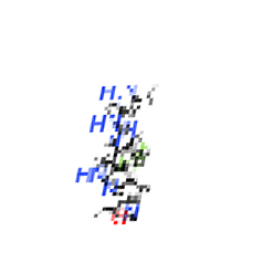 CC[C@H](N)C[C@H](C)Nc1ncc(C(F)(F)F)c(-c2c[nH]c3nc(-c4c(C)noc4C)ccc23)n1